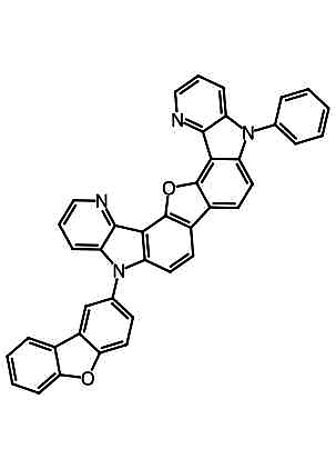 c1ccc(-n2c3cccnc3c3c4oc5c(ccc6c5c5ncccc5n6-c5ccc6oc7ccccc7c6c5)c4ccc32)cc1